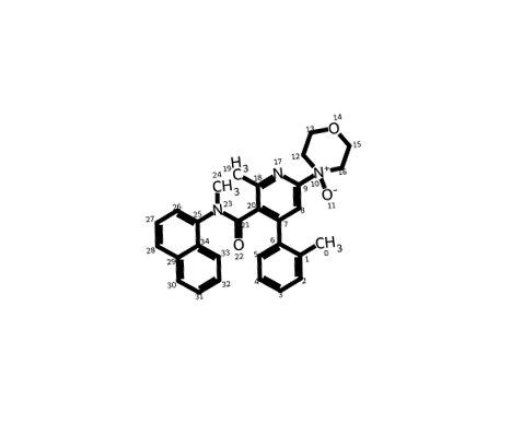 Cc1ccccc1-c1cc([N+]2([O-])CCOCC2)nc(C)c1C(=O)N(C)c1cccc2ccccc12